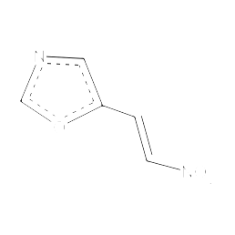 O=[N+]([O-])/C=C/c1cnco1